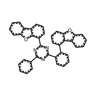 c1ccc(-c2nc(-c3ccccc3-c3cccc4oc5ccccc5c34)nc(-c3cccc4c3oc3ccccc34)n2)cc1